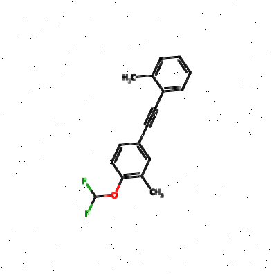 Cc1ccccc1C#Cc1ccc(OC(F)F)c(C)c1